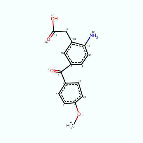 COc1ccc(C(=O)c2ccc(N)c(CC(=O)O)c2)cc1